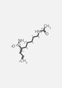 C=C/C=C(\CCCCCNC(C)=O)[S+](N)[O-]